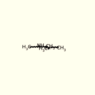 CCCCCCCCC(N)CCCCCCC(C)(C)[C@H]1C[C@H]1CCCCCCCC